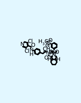 C[C@H](Cc1ccc(NC(=O)c2c(Cl)cncc2Cl)cc1)NC(=O)[C@@H]1[C@@H]2CCCC[C@@H]2CN1S(=O)(=O)c1cccc(S(C)(=O)=O)c1